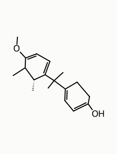 COC1=CC=C(C(C)(C)C2=CC=C(O)CC2)[C@H](C)C1C